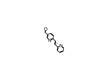 O=Cc1ccc(/C=C/c2ccccn2)nc1